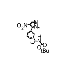 Cn1ncc([N+](=O)[O-])c1-c1ccc2c(c1)C(NC(=O)OC(C)(C)C)CC2